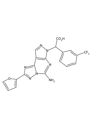 Nc1nc2c(cnn2C(C(=O)O)c2cccc(C(F)(F)F)c2)c2nc(-c3ccco3)nn12